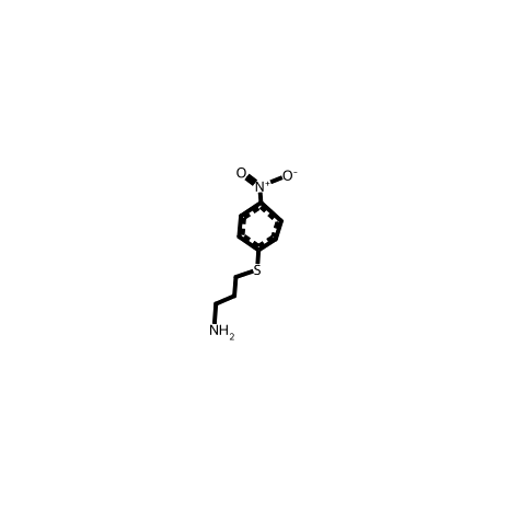 NCCCSc1ccc([N+](=O)[O-])cc1